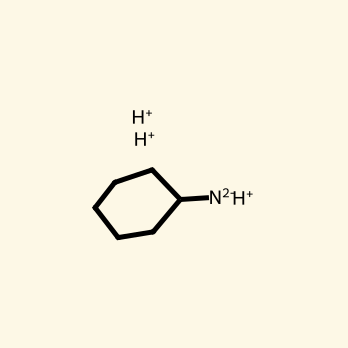 [H+].[H+].[H+].[N-2]C1CCCCC1